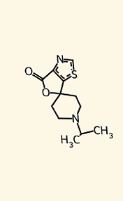 CC(C)N1CCC2(CC1)OC(=O)c1ncsc12